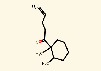 C=CCCC(=O)C1(C)CCCCC1C